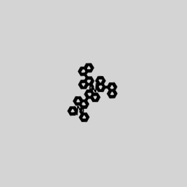 c1ccc(N(c2ccccc2)c2ccc(-c3ccc(N(c4ccc(-c5cccc6ccccc56)c5ccccc45)c4ccc(-c5cccc6ccccc56)c5ccccc45)c4ccccc34)c3ccccc23)cc1